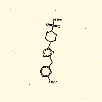 CCCCCCS(=O)(=O)N1CCN(c2nc(Cc3cccc(OC)c3)ns2)CC1